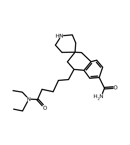 CCN(CC)C(=O)CCCCC1CC2(CCNCC2)Cc2ccc(C(N)=O)cc21